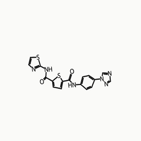 O=C(Nc1ccc(-n2cncn2)cc1)c1ccc(C(=O)Nc2nccs2)s1